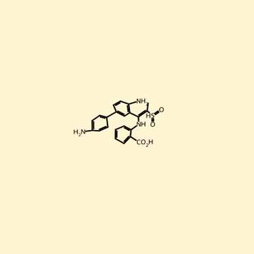 C/C(=C(/Nc1ccccc1C(=O)O)c1cc(-c2ccc(N)cc2)ccc1N)[SH](=O)=O